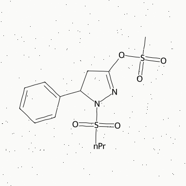 CCCS(=O)(=O)N1N=C(OS(C)(=O)=O)CC1c1ccccc1